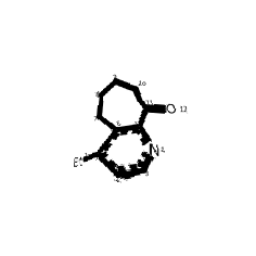 CCc1ccnc2c1CCCCC2=O